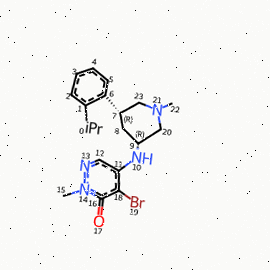 CC(C)c1ccccc1[C@H]1C[C@@H](Nc2cnn(C)c(=O)c2Br)CN(C)C1